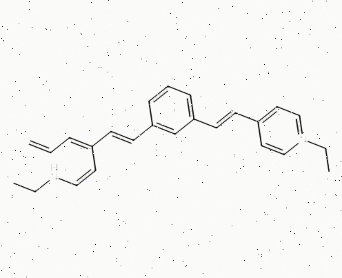 C=C/C=C(\C=C/NCC)/C=C/c1cccc(/C=C/c2cc[n+](CC)cc2)c1